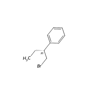 CC[C@@H](CBr)c1ccccc1